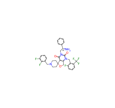 N[C@@H](Cn1c(=O)c2c(n(Cc3c(F)cccc3C(F)(F)F)c1=O)COC21CCN(Cc2cccc(F)c2F)CC1)c1ccccc1